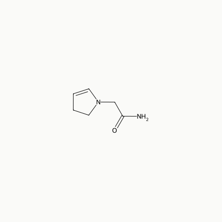 NC(=O)CN1C=CCC1